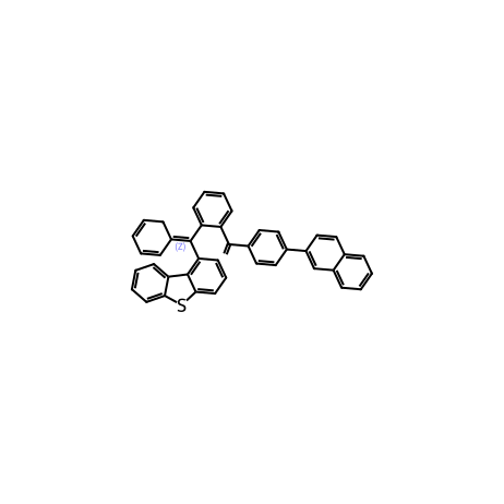 C=C(c1ccc(-c2ccc3ccccc3c2)cc1)c1ccccc1/C(=C1/C=CC=CC1)c1cccc2sc3ccccc3c12